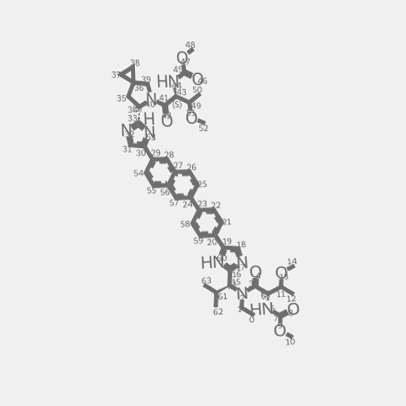 CCN(C(=O)[C@@H](NC(=O)OC)C(C)OC)[C@H](c1ncc(-c2ccc(-c3ccc4cc(-c5cnc([C@@H]6CC7(CC7)CN6C(=O)[C@@H](NC(=O)OC)C(C)OC)[nH]5)ccc4c3)cc2)[nH]1)C(C)C